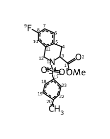 COC(=O)C1Cc2ccc(F)cc2CN1S(=O)(=O)c1ccc(C)cc1